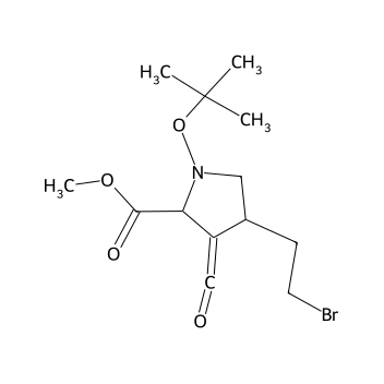 COC(=O)C1C(=C=O)C(CCBr)CN1OC(C)(C)C